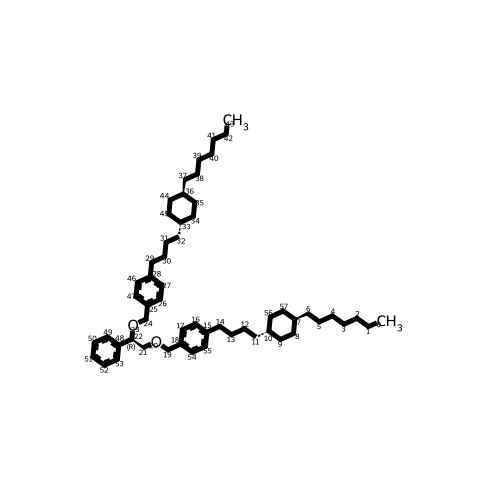 CCCCCCC[C@H]1CC[C@H](CCCCc2ccc(COC[C@H](OCc3ccc(CCCC[C@H]4CC[C@H](CCCCCCC)CC4)cc3)c3ccccc3)cc2)CC1